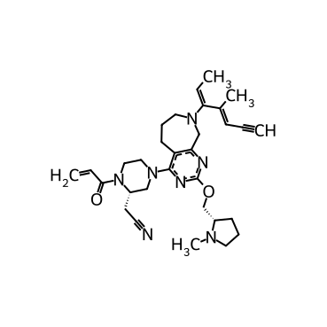 C#CC=C(C)/C(=C\C)N1CCCc2c(nc(OC[C@@H]3CCCN3C)nc2N2CCN(C(=O)C=C)[C@@H](CC#N)C2)C1